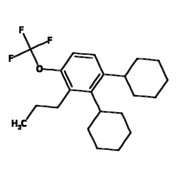 CCCc1c(OC(F)(F)F)ccc(C2CCCCC2)c1C1CCCCC1